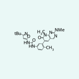 CNc1ncc2cc(-c3cc(NC(=O)Nc4cc(C(C)(C)C)no4)ccc3C)c(=O)n(C)c2n1